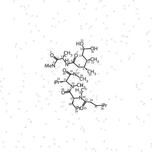 CNC(=O)[C@@H](C)NC(=O)[C@H]([C@H](C)[C@H](C)CC(O)O)N(C)C(=O)[C@H](C(C)C)N(C)C(=O)[C@H](CC(C)C)N(C)C(=O)CCC(C)C